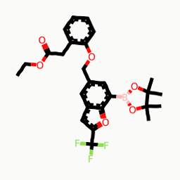 CCOC(=O)Cc1ccccc1OCc1cc(B2OC(C)(C)C(C)(C)O2)c2oc(C(F)(F)F)cc2c1